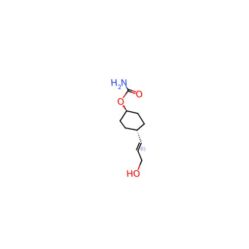 NC(=O)O[C@H]1CC[C@H](/C=C/CO)CC1